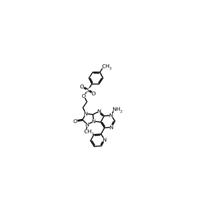 Cc1ccc(S(=O)(=O)OCCN2C(=O)N(C)N3C4=C(c5ccccn5)N=CN(N)C4=NC23)cc1